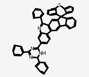 c1ccc(C2=NC(c3ccccc3)NC(c3ccc4c(c3)nc(-c3ccccc3)c3cc5c(cc34)-c3ccccc3C53c4ccccc4Sc4ccccc43)=N2)cc1